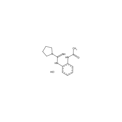 CC(=O)Nc1ccccc1NC(=N)N1CCCC1.Cl